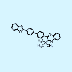 CC(C)(C)c1nc2ccccc2nc1-c1ccc(-c2ccc(-c3nc4ccccc4o3)cc2)cc1